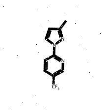 Cc1ccn(-c2ccc(C(F)(F)F)cn2)n1